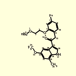 CCCCOCCOc1cc(F)ccc1CC(=O)c1c[nH]c2c(C)cc(OC(F)(F)F)cc12